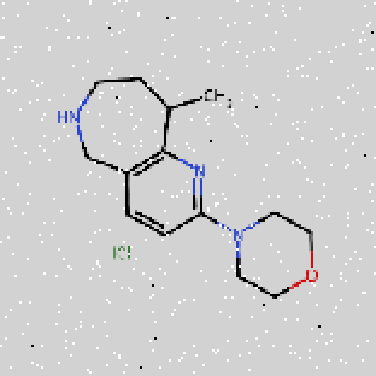 CC1CCNCc2ccc(N3CCOCC3)nc21.Cl